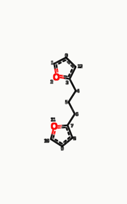 c1coc(CCCc2ccco2)c1